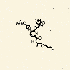 COC1CN(c2ccc(C(=O)NC(C)COCCCF)nc2OCC2(CO)COC2)C1